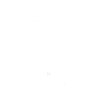 CC(=O)NCc1ccc2occc2c1